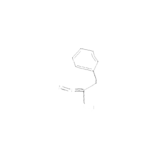 [N-]=[N+]=C(Cc1ccccc1)C(=O)O